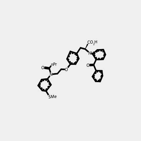 CCCC(=O)N(CCOc1ccc(C[C@H](Nc2ccccc2C(=O)c2ccccc2)C(=O)O)cc1)c1cccc(SC)c1